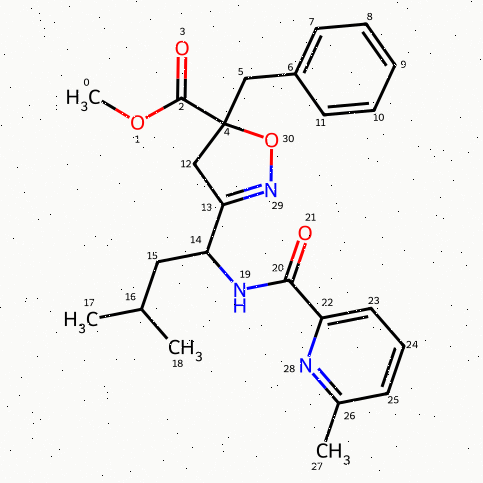 COC(=O)C1(Cc2ccccc2)CC(C(CC(C)C)NC(=O)c2cccc(C)n2)=NO1